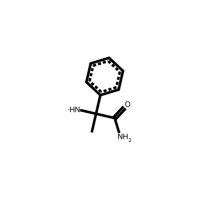 CC([NH])(C(N)=O)c1ccccc1